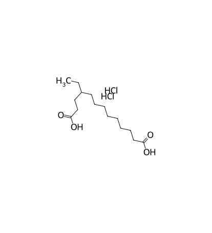 CCC(CCCCCCCCC(=O)O)CCC(=O)O.Cl.Cl